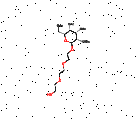 CC(=O)N[C@@H]1[C@@H](OCCOCCOCCO)O[C@H](COC(C)=O)[C@H](OC(C)=O)[C@@H]1OC(C)=O